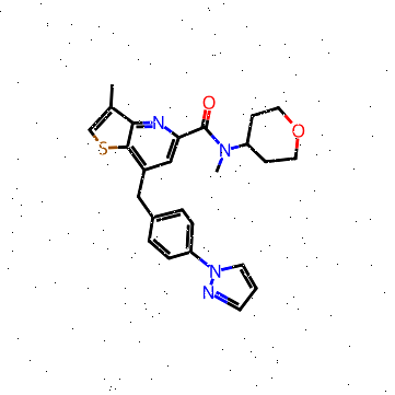 Cc1csc2c(Cc3ccc(-n4cccn4)cc3)cc(C(=O)N(C)C3CCOCC3)nc12